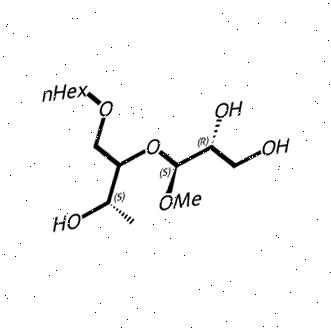 CCCCCCOCC(O[C@H](OC)[C@H](O)CO)[C@H](C)O